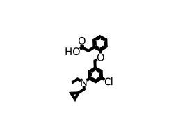 CCN(CC1CC1)c1cc(Cl)cc(COc2ccccc2CC(=O)O)c1